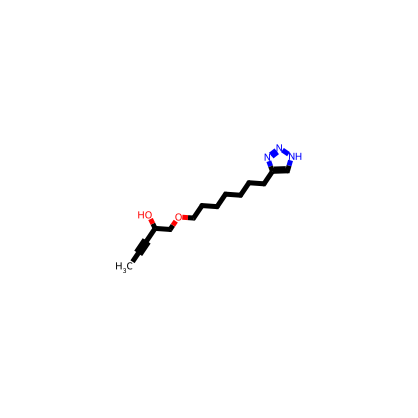 CC#CC(O)COCCCCCCCc1c[nH]nn1